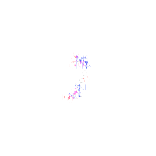 COC(=O)N[C@H](C(=O)N1C[C@@H](C)C[C@H]1c1ncc(-c2ccc3c(c2)COc2cc4c(ccc5nc([C@@H]6CC[C@H](C)N6C(=O)[C@H](C(C)C)N(C)C(=O)O)[nH]c54)cc2-3)[nH]1)C1CCOCC1